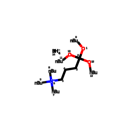 CCCCOC(CCC[N+](CCCC)(CCCC)CCCC)(OCCCC)OCCCC.[BH4-]